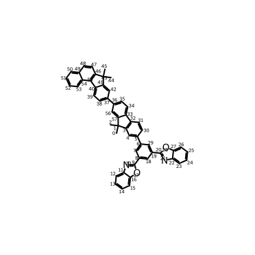 CC1(C)c2cc(-c3cc(-c4nc5ccccc5o4)cc(-c4nc5ccccc5o4)c3)ccc2-c2ccc(-c3ccc4c(c3)C(C)(C)c3ccc5ccccc5c3-4)cc21